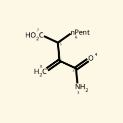 C=C(C(N)=O)C(CCCCC)C(=O)O